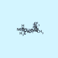 Cc1nc(N2CC3CN(Cc4ccc5[nH]c(C#N)cc5c4C)CC3C2)c2cc(CC(F)(F)F)sc2n1